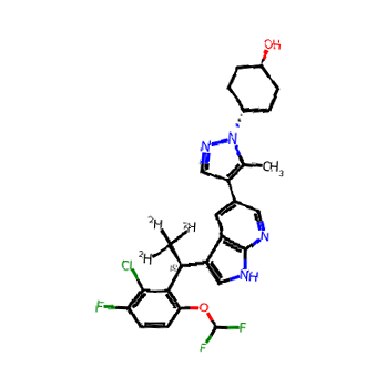 [2H]C([2H])([2H])[C@H](c1c(OC(F)F)ccc(F)c1Cl)c1c[nH]c2ncc(-c3cnn([C@H]4CC[C@H](O)CC4)c3C)cc12